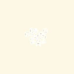 Bc1c(N(C)c2ccccc2-c2ccccc2)c(O)c2c3c(O)c(C)c(C)c(O)c3n(-c3cccc(-c4ccccc4)c3)c2c1O